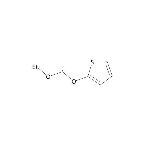 CCO[CH]Oc1cccs1